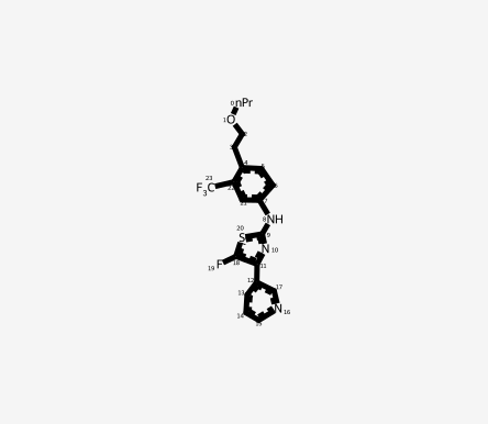 CCCOCCc1ccc(Nc2nc(-c3cccnc3)c(F)s2)cc1C(F)(F)F